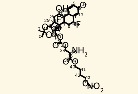 CC1(C)O[C@@H]2CC3C4C[C@H](F)C5=CC(=O)C=C[C@]5(C)[C@@]4(F)[C@@H](O)C[C@]3(C)[C@]2(C(=O)COC(=O)OC[C@H](N)C(=O)OCCCCO[N+](=O)[O-])O1